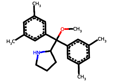 COC(c1cc(C)cc(C)c1)(c1cc(C)cc(C)c1)C1CCCN1